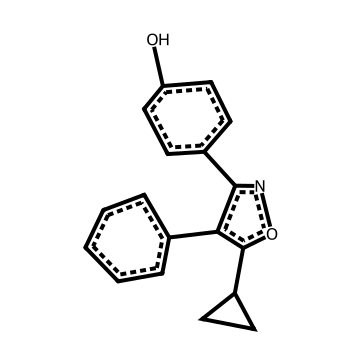 Oc1ccc(-c2noc(C3CC3)c2-c2ccccc2)cc1